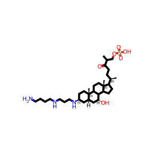 CC(COS(=O)(=O)O)C(=O)CC[C@@H](C)C1CCC2C3C(CC[C@@]21C)[C@@]1(C)CC[C@H](NCCCNCCCCN)C[C@@H]1C[C@H]3O